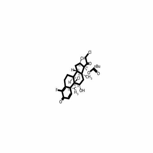 CCCCC(=O)O[C@@]1(C(=O)CCl)[C@@H](C)C[C@H]2[C@@H]3CCC4=C(F)C(=O)C=C[C@]4(C)[C@@]3(Cl)[C@@H](O)C[C@@]21C